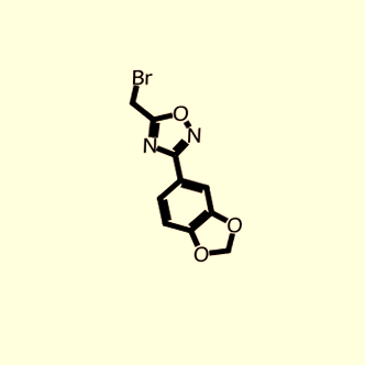 BrCc1nc(-c2ccc3c(c2)OCO3)no1